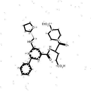 CCOC(=O)N1CCN(C(=O)C(CCC(=O)O)NC(=O)c2cc(NC[C@@H]3CCCO3)nc(-c3ccccc3)n2)CC1